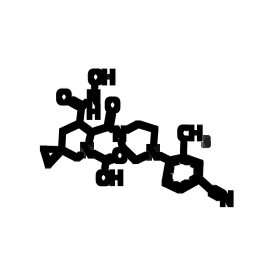 Cc1cc(C#N)ccc1N1CCN(C(=O)C2C(C(=O)NO)CC3(CC3)CN2C(=O)O)CC1